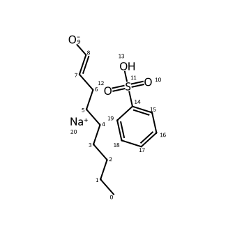 CCCCCCCC=C[O-].O=S(=O)(O)c1ccccc1.[Na+]